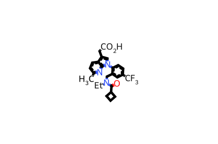 CCN(Cc1cc(C(F)(F)F)ccc1-n1cc(CC(=O)O)c2ccc(C)nc21)C(=O)C1CCC1